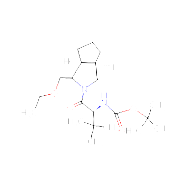 CCOCC1[C@H]2CCC[C@H]2CN1C(=O)[C@@H](NC(=O)OC(C)(C)C)C(C)(C)C